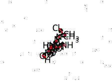 CC1(C)CCC(CN2CCN(c3ccc(C(=O)NS(=O)(=O)c4ccc(NC[C@@H]5COCCO5)c([N+](=O)[O-])c4)c(N4CC(F)(F)Oc5nc6[nH]ccc6cc54)c3)CC2)=C(c2ccc(Cl)cc2)C1